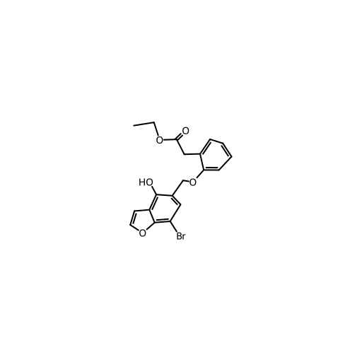 CCOC(=O)Cc1ccccc1OCc1cc(Br)c2occc2c1O